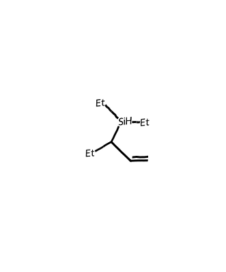 C=CC(CC)[SiH](CC)CC